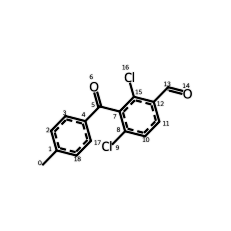 Cc1ccc(C(=O)c2c(Cl)ccc([C]=O)c2Cl)cc1